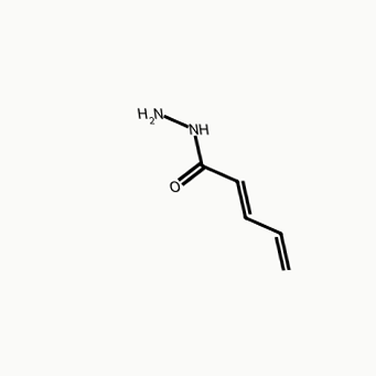 C=C/C=C/C(=O)NN